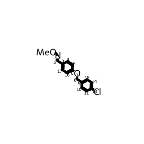 CON=Cc1ccc(OCc2ccc(Cl)cc2)cc1